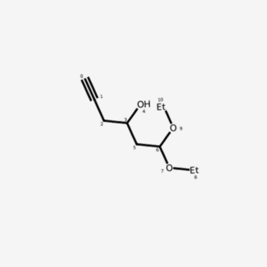 C#CCC(O)CC(OCC)OCC